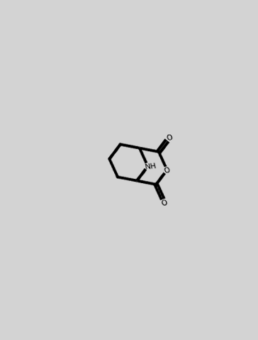 O=C1OC(=O)C2CCCC1N2